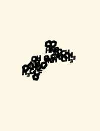 C[C@H](c1ccccc1F)N(Cc1ccc(C(=O)N[C@H]2C[C@@H](C(=O)N[C@@H]3CCCc4ccccc43)N(C(=O)OC(C)(C)C)C2)cc1)C(=O)C1Cc2ccccc2CN1C(=O)O